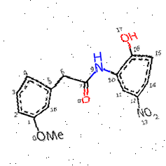 COc1cccc(CC(=O)Nc2cc([N+](=O)[O-])ccc2O)c1